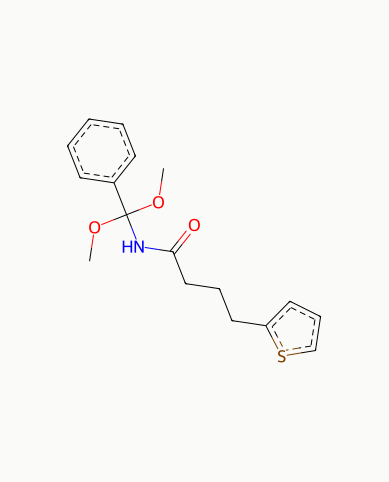 COC(NC(=O)CCCc1cccs1)(OC)c1ccccc1